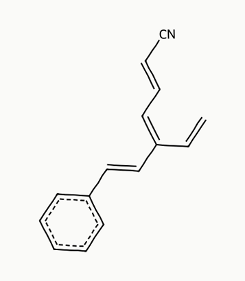 C=CC(C=Cc1ccccc1)=CC=CC#N